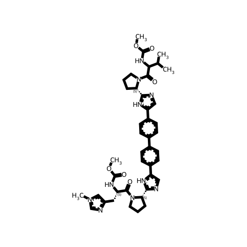 COC(=O)NC(C(=O)N1CCC[C@H]1c1ncc(-c2ccc(-c3ccc(-c4cnc([C@@H]5CCCN5C(=O)[C@H](Cc5cn(C)cn5)NC(=O)OC)[nH]4)cc3)cc2)[nH]1)C(C)C